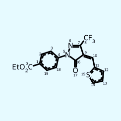 CCOC(=O)c1ccc(N2N=C(C(F)(F)F)C(=Cc3cccs3)C2=O)cc1